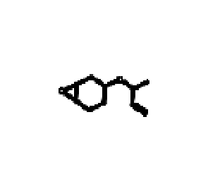 C=CC(C)OC1CCC2OC2C1